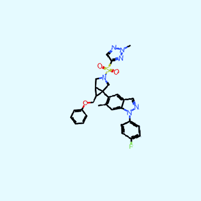 Cc1cc2c(cnn2-c2ccc(F)cc2)cc1C12CN(S(=O)(=O)c3cnn(C)n3)CC1C2COc1ccccc1